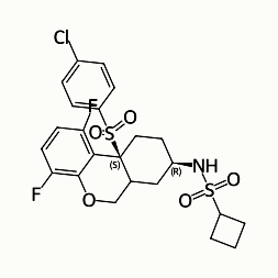 O=S(=O)(N[C@@H]1CC[C@@]2(S(=O)(=O)c3ccc(Cl)cc3)c3c(F)ccc(F)c3OCC2C1)C1CCC1